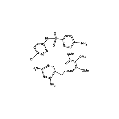 COc1cc(Cc2cnc(N)nc2N)cc(OC)c1OC.Nc1ccc(S(=O)(=O)Nc2ccc(Cl)nn2)cc1